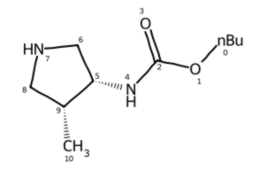 CCCCOC(=O)N[C@H]1CNC[C@H]1C